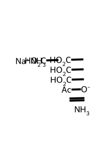 C=C.CC(=O)O.CC(=O)O.CC(=O)O.CC(=O)O.CC(=O)[O-].N.N.[Na+]